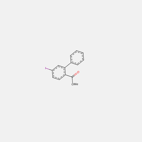 COC(=O)c1ccc(I)cc1-c1ccccc1